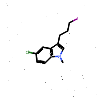 Cn1cc(CCCI)c2cc(Cl)ccc21